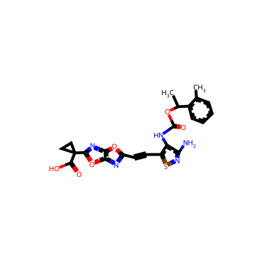 Cc1ccccc1C(C)OC(=O)Nc1c(N)nsc1C#Cc1nc2oc(C3(C(=O)O)CC3)nc2o1